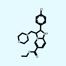 CCOC(=O)C1=CN2C(C=C1)NC(c1ccc(Cl)cc1)C2CN1CCOCC1